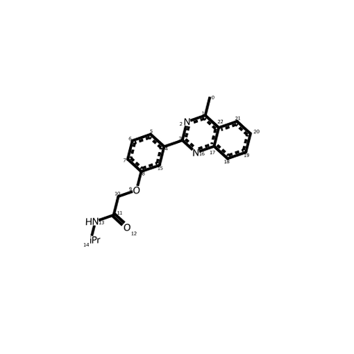 Cc1nc(-c2cccc(OCC(=O)NC(C)C)c2)nc2ccccc12